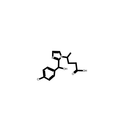 CC(CCC(=O)O)n1ccnc1C(O)c1ccc(Cl)cc1